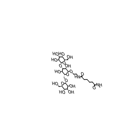 CNC(=O)CCCCC(=O)NCCO[C@H]1O[C@H](CO[C@H]2O[C@H](CO)[C@@H](O)[C@H](O)[C@@H]2O)[C@@H](O)[C@H](O[C@H]2O[C@H](CO)[C@@H](O)[C@H](O)[C@@H]2O)[C@@H]1O